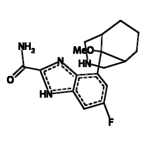 COC1(c2cc(F)cc3[nH]c(C(N)=O)nc23)C2CCCC1CNC2